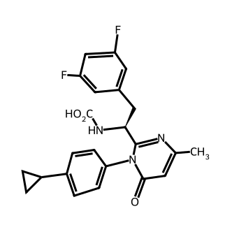 Cc1cc(=O)n(-c2ccc(C3CC3)cc2)c([C@H](Cc2cc(F)cc(F)c2)NC(=O)O)n1